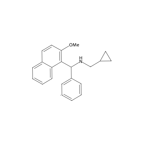 COc1ccc2ccccc2c1C(NCC1CC1)c1c[c]ccc1